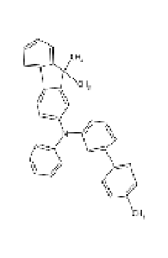 Cc1ccc(-c2cccc(N(c3ccccc3)c3ccc4c(c3)C(C)(C)c3ccccc3-4)c2)cc1